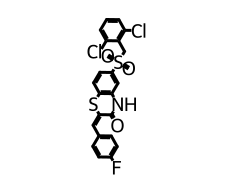 O=C1Nc2cc(S(=O)(=O)Cc3c(Cl)cccc3Cl)ccc2S/C1=C/c1ccc(F)cc1